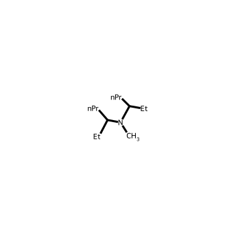 CCCC(CC)N(C)C(CC)CCC